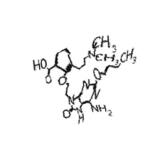 CCCCOc1nc(N)c2[nH]c(=O)n(CCOc3c(CCCN(C)C)cccc3C(=O)O)c2n1